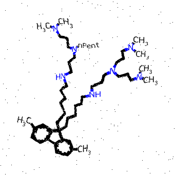 CCCCCN(CCCNCCCCCCC1(CCCCCCNCCCN(CCCN(C)C)CCCN(C)C)c2cc(C)ccc2-c2ccc(C)cc21)CCCN(C)C